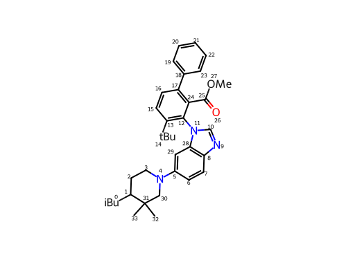 CCC(C)C1CCN(c2ccc3ncn(-c4c(C(C)(C)C)ccc(-c5ccccc5)c4C(=O)OC)c3c2)CC1(C)C